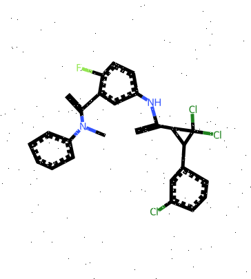 C=C(Nc1ccc(F)c(C(=C)N(C)c2ccccc2)c1)C1C(c2cccc(Cl)c2)C1(Cl)Cl